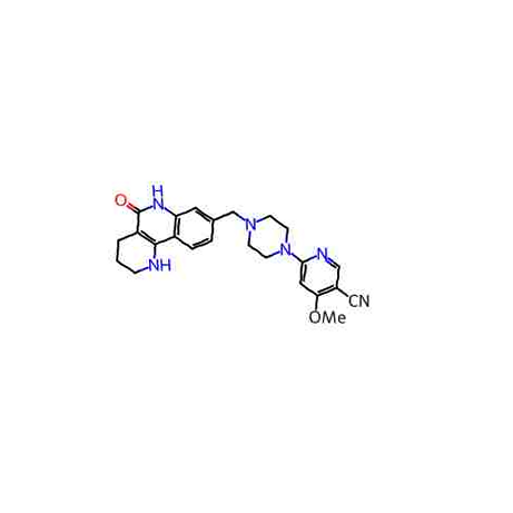 COc1cc(N2CCN(Cc3ccc4c5c(c(=O)[nH]c4c3)CCCN5)CC2)ncc1C#N